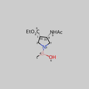 CCOC(=O)[C@H]1CN(B(C)O)C[C@H]1NC(C)=O